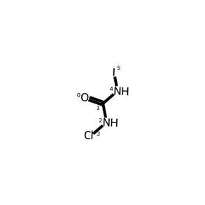 O=C(NCl)NI